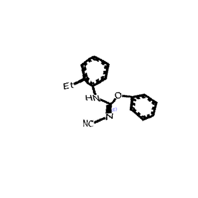 CCc1ccccc1N/C(=N\C#N)Oc1ccccc1